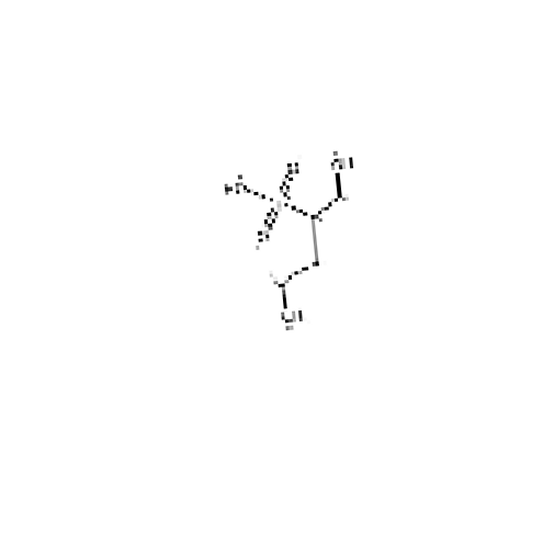 COCC(CO)S(=O)(=O)O